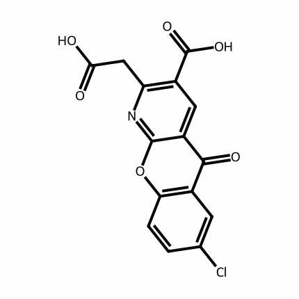 O=C(O)Cc1nc2oc3ccc(Cl)cc3c(=O)c2cc1C(=O)O